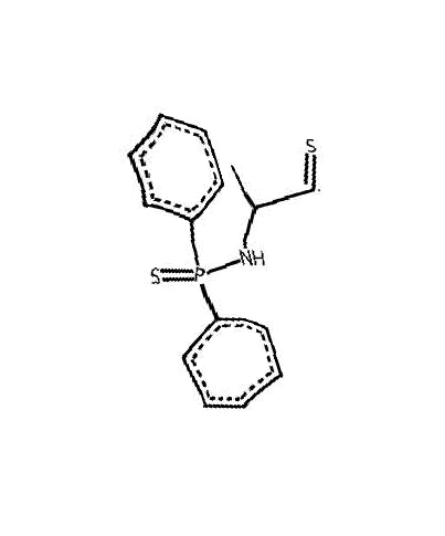 CC([C]=S)NP(=S)(c1ccccc1)c1ccccc1